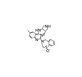 Cc1ccc2nc(N3CC[S+]([O-])c4ccccc4C3)nc(NC3CNCC3F)c2c1